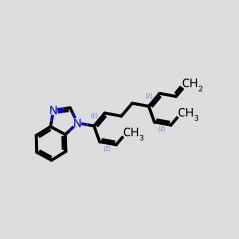 C=C/C=C(\C=C/C)CC/C=C(\C=C/C)n1cnc2ccccc21